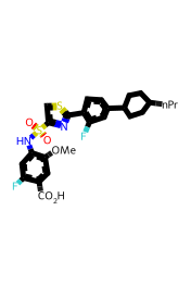 CCCC1CCC(c2ccc(-c3nc(S(=O)(=O)Nc4cc(F)c(C(=O)O)cc4OC)cs3)c(F)c2)CC1